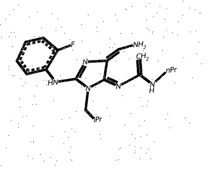 C=C(/N=C1\C(=C/N)N=C(Nc2ccccc2F)N1CC(C)C)NCCC